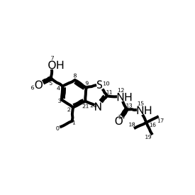 CCc1cc(C(=O)O)cc2sc(NC(=O)NC(C)(C)C)nc12